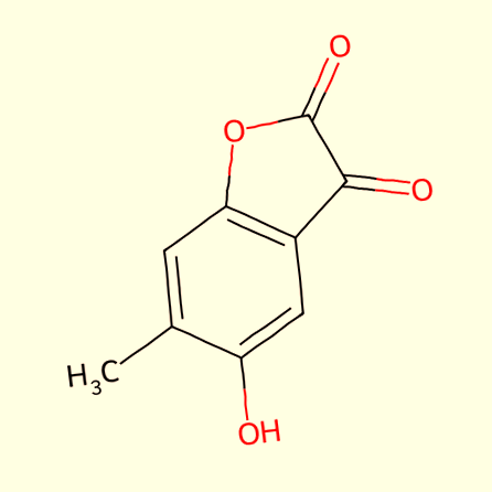 Cc1cc2c(cc1O)C(=O)C(=O)O2